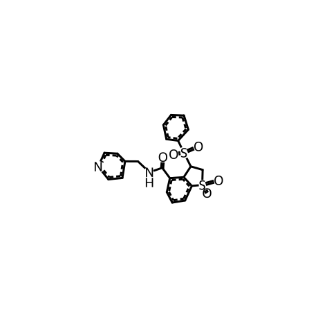 O=C(NCc1ccncc1)c1cccc2c1C(S(=O)(=O)c1ccccc1)CS2(=O)=O